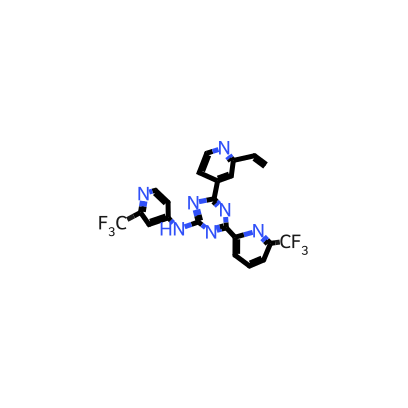 C=Cc1cc(-c2nc(Nc3ccnc(C(F)(F)F)c3)nc(-c3cccc(C(F)(F)F)n3)n2)ccn1